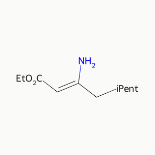 CCCC(C)CC(N)=CC(=O)OCC